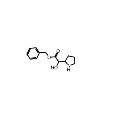 O=C(OCc1ccccc1)C(O)C1CCCN1